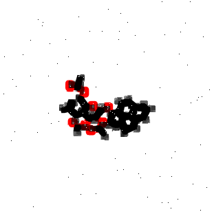 C=C(C)CC1C(COC(C)=O)OC(Oc2ccc3ccc4cccc5ccc2c3c45)C(OC(C)=O)C1OC(C)=O